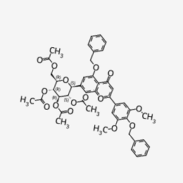 COc1cc(-c2cc(=O)c3c(OCc4ccccc4)cc([C@@H]4O[C@H](COC(C)=O)[C@@H](OC(C)=O)[C@H](OC(C)=O)[C@H]4OC(C)=O)cc3o2)cc(OC)c1OCc1ccccc1